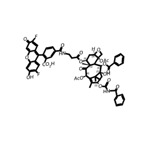 CC(=O)O[C@H]1C(=O)[C@@]2(C)C([C@H](OC(=O)c3ccccc3)[C@]3(O)C[C@H](OC(=O)NC(=O)c4ccccc4)C(C)=C1C3(C)C)[C@]1(OC(C)=O)CO[C@@H]1C[C@@H]2OC(=O)CCNC(=O)c1ccc(-c2c3cc(F)c(=O)cc-3oc3cc(O)c(F)cc23)c(C(=O)O)c1